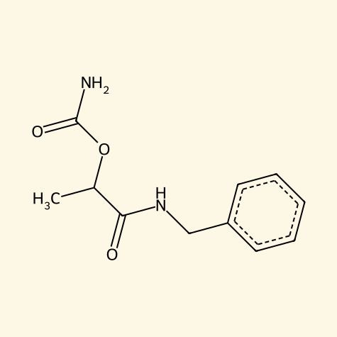 CC(OC(N)=O)C(=O)NCc1ccccc1